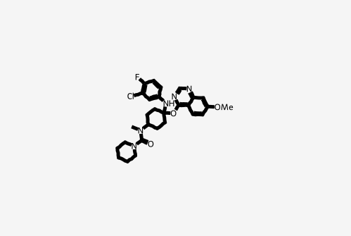 COc1ccc2c(OC3(Nc4ccc(F)c(Cl)c4)CCC(N(C)C(=O)N4CCCCC4)CC3)ncnc2c1